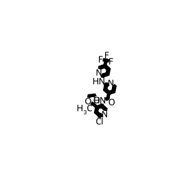 CC1(c2cc(Cl)ncc2NC(=O)c2ccnc(Nc3ccc(C(F)(F)F)cn3)c2)OCCO1